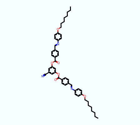 CCCCCCCCOc1ccc(/N=C/c2ccc(C(=O)Oc3cc(C#N)cc(OC(=O)c4ccc(/C=N/c5ccc(OCCCCCCCC)cc5)cc4)c3)cc2)cc1